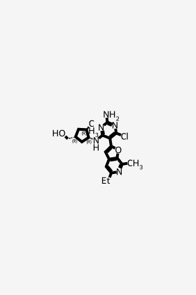 CCc1cc2cc(-c3c(Cl)nc(N)nc3N[C@@H]3C[C@H](CO)C[C@H]3C)oc2c(C)n1